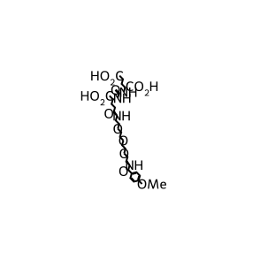 COc1ccc(C(=O)NCCOCCOCCOCCNC(=O)CCC(NC(=O)NC(CCC(=O)O)C(=O)O)C(=O)O)cc1